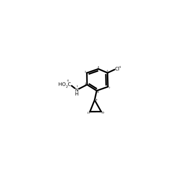 O=C(O)Nc1ccc(Cl)cc1C1CC1